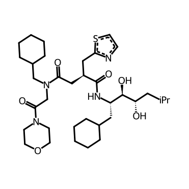 CC(C)C[C@H](O)[C@H](O)[C@H](CC1CCCCC1)NC(=O)[C@@H](CC(=O)N(CC(=O)N1CCOCC1)CC1CCCCC1)Cc1nccs1